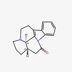 O=C1C[C@@H]2CCCN3CCc4c(n1c1ccccc41)[C@@H]23